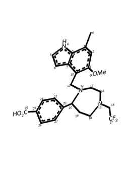 COc1cc(C)c2[nH]ccc2c1CN1CCN(CC(F)(F)F)CCC1c1ccc(C(=O)O)cc1